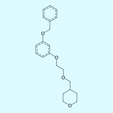 c1ccc(COc2cccc(OCCOCC3CCOCC3)c2)cc1